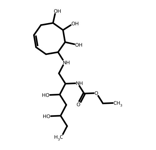 CCOC(=O)NC(CNC1C/C=C\CC(O)C(O)C1O)C(O)CC(O)CC